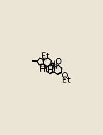 C=C1C[C@H]2[C@@H]3CC=C4C=C(OCC)CC(=O)[C@@H]4[C@H]3CC[C@]2(CC)C1